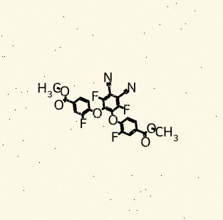 COC(=O)c1ccc(Oc2c(F)c(C#N)c(C#N)c(F)c2Oc2ccc(C(=O)OC)cc2F)c(F)c1